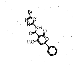 O=C(Nc1nnc(Br)o1)c1c(O)cc(-c2ccccc2)oc1=O